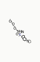 COCCOCCOCCNC(=O)/C(C#N)=C(\C)c1ccc2cc(N3CCCCC3)ccc2c1